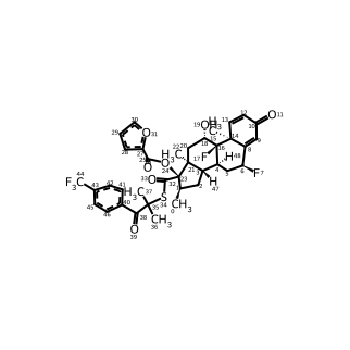 C[C@@H]1C[C@H]2[C@@H]3C[C@H](F)C4=CC(=O)C=C[C@]4(C)[C@@]3(F)[C@@H](O)C[C@]2(C)[C@@]1(OC(=O)c1ccco1)C(=O)SC(C)(C)C(=O)c1ccc(C(F)(F)F)cc1